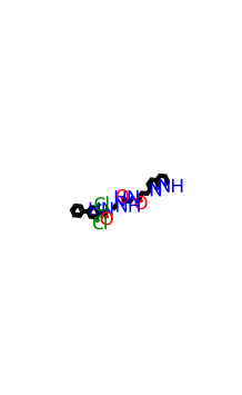 O=C(CCc1ccc2c(n1)NCCC2)NCC(=O)NCCNC(=O)c1c(Cl)cc(-c2ccccc2)cc1Cl